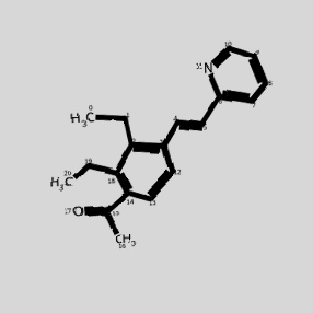 CCc1c(C=Cc2ccccn2)ccc(C(C)=O)c1CC